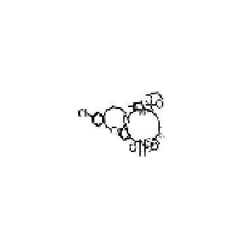 C[C@@H]1[C@@H](C)CCC[C@H](C2OCCCO2)[C@@H]2CC[C@H]2CN2CCCCc3cc(Cl)ccc3COc3ccc(cc32)C(=O)NS1(=O)=O